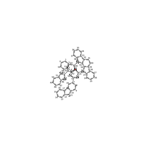 c1ccc(-c2nc(-c3ccc4sc5ccccc5c4c3)nc(-n3c4ccccc4c4ccc5c6ccccc6n(-c6ccc(-c7nc8ccccc8s7)cc6)c5c43)n2)cc1